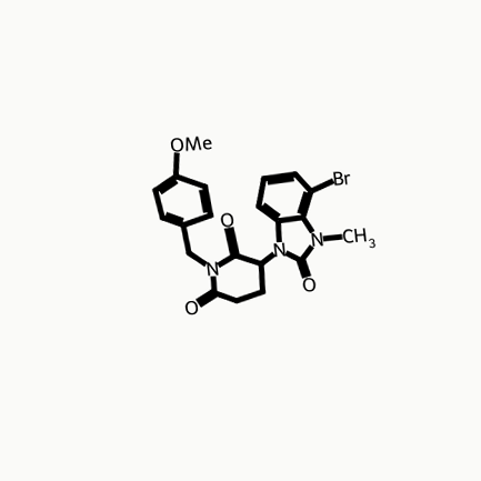 COc1ccc(CN2C(=O)CCC(n3c(=O)n(C)c4c(Br)cccc43)C2=O)cc1